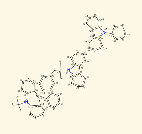 CC(C)(C)N1c2ccccc2[Si](c2ccccc2)(c2ccc(CC(C)(C)n3c4ccccc4c4cc(-c5ccc6c(c5)c5ccccc5n6-c5ccccc5)ccc43)cc2)c2ccccc21